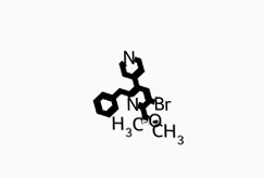 CO[C@@H](C)c1nc(Cc2ccccc2)c(C2=CCN=CC2)cc1Br